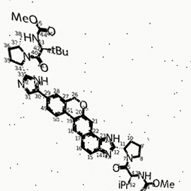 COC(=O)N[C@H](C(=O)N1CCC[C@H]1c1nc2ccc3cc4c(cc3c2[nH]1)OCc1cc(-c2cnc([C@@H]3CC[C@H](C)N3C(=O)[C@@H](NC(=O)OC)C(C)(C)C)[nH]2)ccc1-4)C(C)C